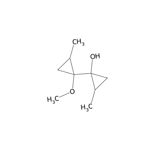 COC1(C2(O)CC2C)CC1C